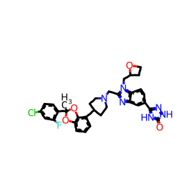 CC1(c2ccc(Cl)cc2F)Oc2cccc(C3CCN(Cc4nc5cc(-c6n[nH]c(=O)[nH]6)ccc5n4CC4CCO4)CC3)c2O1